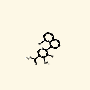 NC(=O)c1cnc(-c2cccc3cccc(Br)c23)c(F)c1N